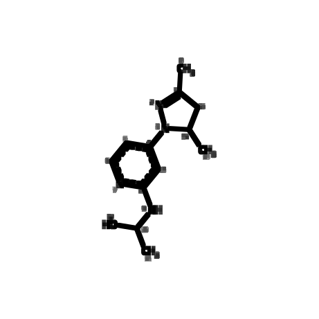 CC1=NN(c2ccnc(NC(C)O)c2)C(C)C1